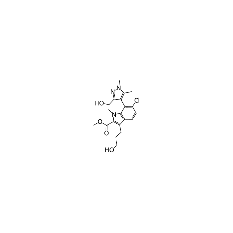 COC(=O)c1c(CCCO)c2ccc(Cl)c(-c3c(CO)nn(C)c3C)c2n1C